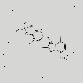 Cc1ccc(N)c2cc(C)n(Cc3ccc(O[Si](C(C)C)(C(C)C)C(C)C)c(C(C)C)c3)c12